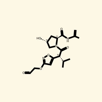 C=C(C)NC(=O)[C@@H]1C[C@@H](O)CN1C(=O)[C@@H](c1cc(OCC=O)no1)C(C)C